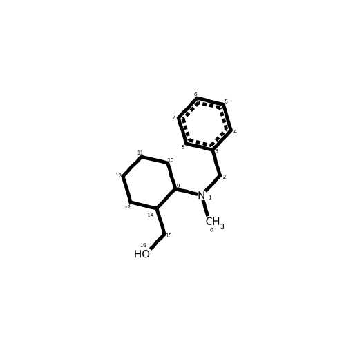 CN(Cc1ccccc1)C1CCCCC1CO